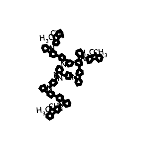 CC1(C)c2ccccc2-c2ccc(-n3c4ccccc4c4ccc(-c5ccc6c7ccccc7n(-c7ccc(-c8nc(-c9ccc(-n%10c%11ccccc%11c%11ccc(-c%12ccc%13c%14ccccc%14n(-c%14ccc%15c(c%14)C(C)(C)c%14ccccc%14-%15)c%13c%12)cc%11%10)cc9)c9cc(-n%10c%11ccccc%11c%11ccc(-c%12ccc%13c%14ccccc%14n(-c%14ccc%15c(c%14)C(C)(C)c%14ccccc%14-%15)c%13c%12)cc%11%10)ccc9n8)cc7)c6c5)cc43)cc21